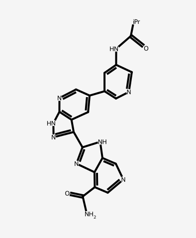 CC(C)C(=O)Nc1cncc(-c2cnc3[nH]nc(-c4nc5c(C(N)=O)cncc5[nH]4)c3c2)c1